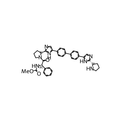 COC(=O)N[C@@H](C(=O)N1CCC[C@H]1c1ncc(-c2ccc(-c3ccc(-c4cnc([C@@H]5CCCN5)[nH]4)cc3)cc2)[nH]1)c1ccccc1